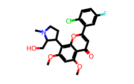 COc1cc(OC)c2c(=O)cc(-c3cc(F)ccc3Cl)oc2c1C1CCN(C)C1CO